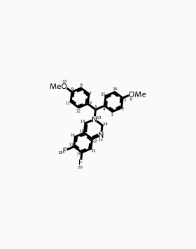 COc1ccc(C(c2ccc(OC)cc2)N2C=c3cc(F)c(F)cc3=NC2)cc1